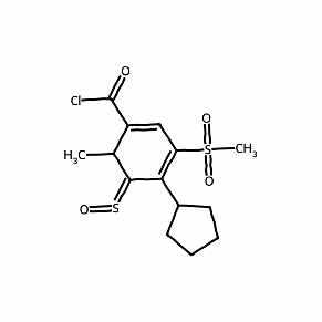 CC1C(C(=O)Cl)=CC(S(C)(=O)=O)=C(C2CCCC2)C1=S=O